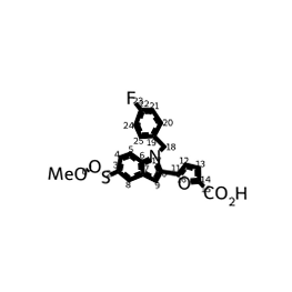 COOSc1ccc2c(c1)cc(-c1ccc(C(=O)O)o1)n2Cc1ccc(F)cc1